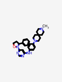 CN1CCC2(CC1)CCN(c1ccc(Nc3cc(N4OCCC4c4ccccc4)ncn3)cc1)CC2